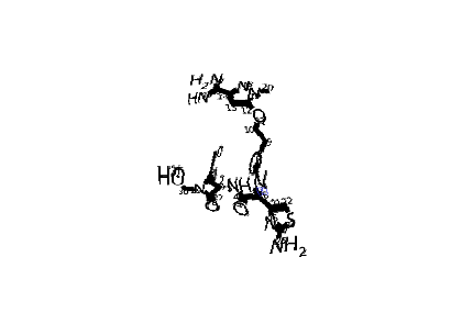 C[C@H]1[C@H](NC(=O)/C(=N\OCCOc2cc(C(=N)N)nn2C)c2csc(N)n2)C(=O)N1CO